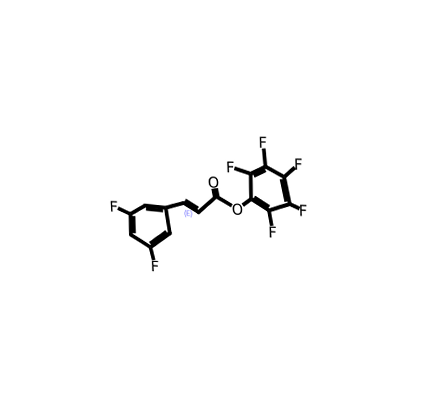 O=C(/C=C/c1cc(F)cc(F)c1)Oc1c(F)c(F)c(F)c(F)c1F